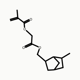 C=C(C)C(=O)OCC(=O)OCC1CC2CC(C)C1C2